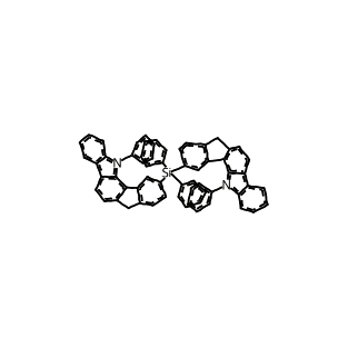 c1ccc(-n2c3ccccc3c3ccc4c(c32)-c2cc([Si](c3ccccc3)(c3ccccc3)c3ccc5c(c3)-c3c(ccc6c7ccccc7n(-c7ccccc7)c36)C5)ccc2C4)cc1